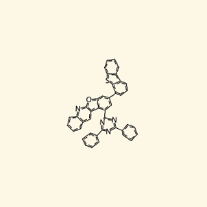 c1ccc(-c2nc(-c3ccccc3)nc(-c3cc(-c4cccc5c4sc4ccccc45)cc4oc5nc6ccccc6cc5c34)n2)cc1